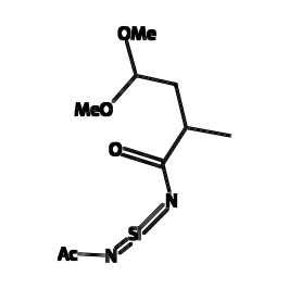 COC(CC(C)C(=O)N=[Si]=NC(C)=O)OC